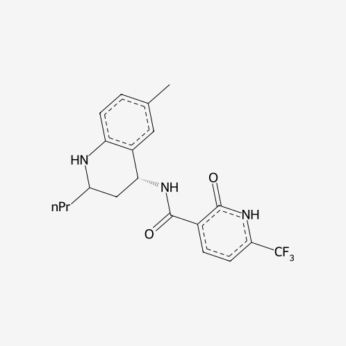 CCCC1C[C@@H](NC(=O)c2ccc(C(F)(F)F)[nH]c2=O)c2cc(C)ccc2N1